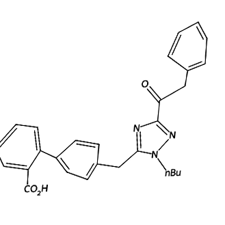 CCCCn1nc(C(=O)Cc2ccccc2)nc1Cc1ccc(-c2ccccc2C(=O)O)cc1